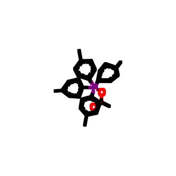 CC(=O)OP(c1ccc(C)cc1)(c1ccc(C)cc1)(c1ccc(C)cc1)c1ccc(C)cc1